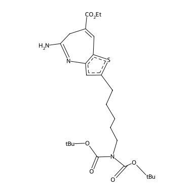 CCOC(=O)C1=Cc2sc(CCCCCN(C(=O)OC(C)(C)C)C(=O)OC(C)(C)C)cc2N=C(N)C1